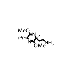 COC1=N[C@@](C)(CCN)C(OC)=N[C@@H]1C(C)C